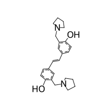 Oc1ccc(/C=C/c2ccc(O)c(CN3CCCC3)c2)cc1CN1CCCC1